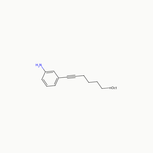 CCCCCCCCCCCCC#Cc1cccc(N)c1